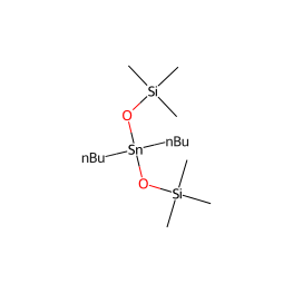 CCC[CH2][Sn]([CH2]CCC)([O][Si](C)(C)C)[O][Si](C)(C)C